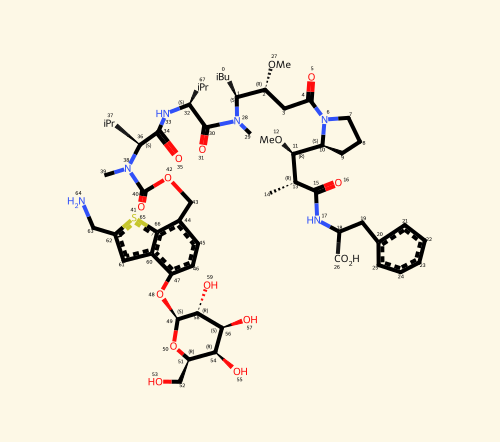 CCC(C)[C@@H]([C@@H](CC(=O)N1CCC[C@H]1[C@H](OC)[C@@H](C)C(=O)NC(Cc1ccccc1)C(=O)O)OC)N(C)C(=O)[C@@H](NC(=O)[C@H](C(C)C)N(C)C(=O)OCc1ccc(O[C@@H]2O[C@H](CO)[C@H](O)[C@H](O)[C@H]2O)c2cc(CN)sc12)C(C)C